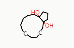 OC12CCCCCCCCCCC1(O)CCC2